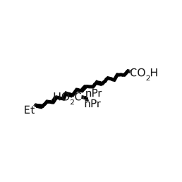 CCC=CCC=CCC=CCC=CCC=CCCCCCC(=O)O.CCCC(CCC)C(=O)O